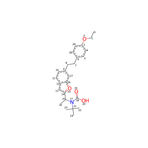 CCOc1ccc(CCc2ccc3cc(C(C)N(C(=O)O)C(C)(C)C)oc3c2)cc1